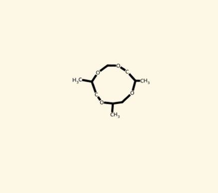 CC1COCOC(C)COC(C)CO1